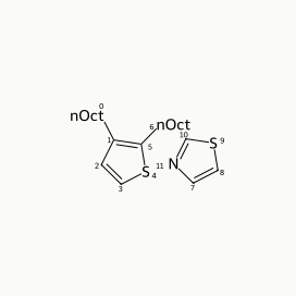 CCCCCCCCc1ccsc1CCCCCCCC.c1cscn1